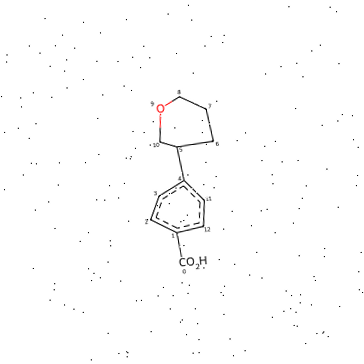 O=C(O)c1ccc(C2CCCOC2)cc1